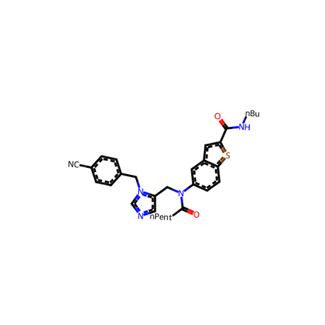 CCCCCC(=O)N(Cc1cncn1Cc1ccc(C#N)cc1)c1ccc2sc(C(=O)NCCCC)cc2c1